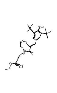 CCOC(=O)CCN1C=CS/C(=C\c2cc(C(C)(C)C)c(O)c(C(C)(C)C)c2)C1=O